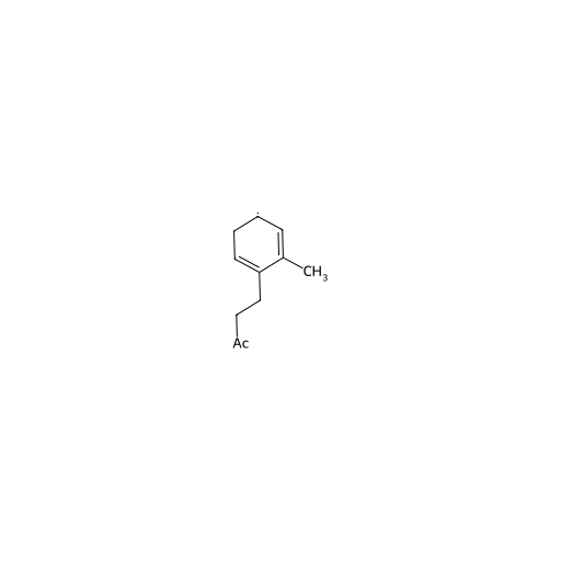 CC(=O)CCC1=CC[CH]C=C1C